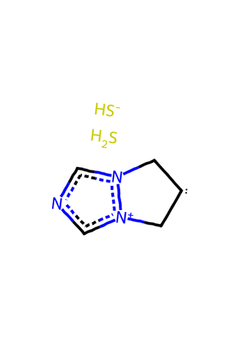 S.[C]1Cn2cnc[n+]2C1.[SH-]